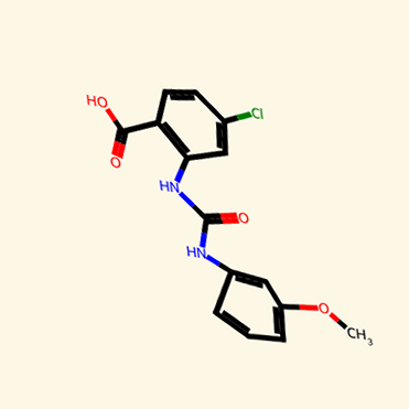 COc1cccc(NC(=O)Nc2cc(Cl)ccc2C(=O)O)c1